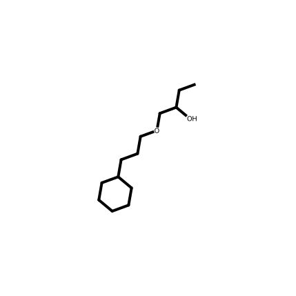 CCC(O)COCCCC1CCCCC1